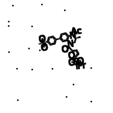 CC(=O)N1c2ccc(-c3ccc(S(C)(=O)=O)cc3)cc2N(C(=O)c2ccc(S(=O)(=O)C(C)C)o2)C[C@@H]1C